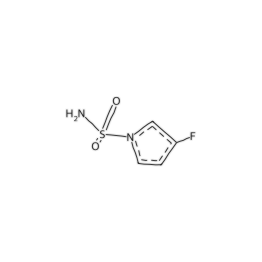 NS(=O)(=O)n1ccc(F)c1